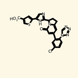 O=C(O)c1csc(-c2cnc(C3CCc4cc(-c5cc(Cl)ccc5-n5cnnn5)cc(=O)n43)[nH]2)c1